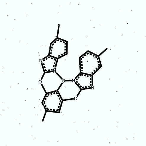 Cc1cc2c3c(c1)Oc1nc4cc(C)ccc4n1B3n1c(nc3cc(C)ccc31)O2